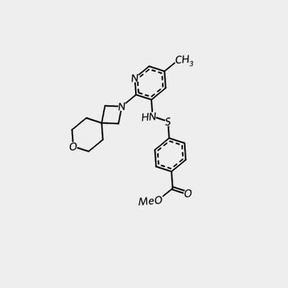 COC(=O)c1ccc(SNc2cc(C)cnc2N2CC3(CCOCC3)C2)cc1